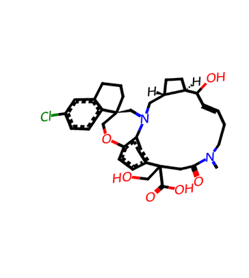 CN1CC/C=C/C(O)[C@@H]2CC[C@H]2CN2C[C@@]3(CCCc4cc(Cl)ccc43)COc3ccc(cc32)C(CO)(C(=O)O)CC1=O